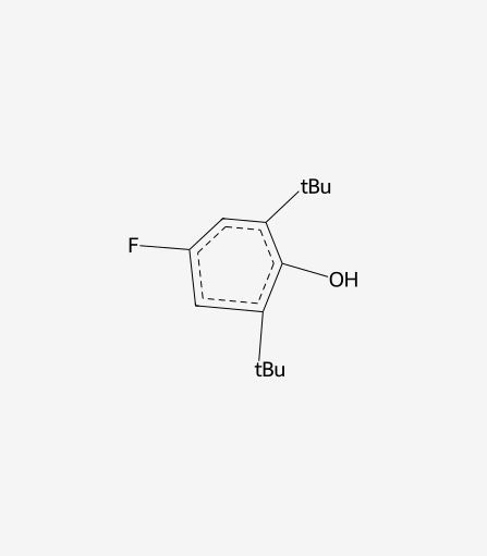 CC(C)(C)c1cc(F)cc(C(C)(C)C)c1O